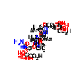 CCC(C)[C@@H]([C@@H](CC(=O)N1CCC[C@H]1[C@H](OC)[C@@H](C)C(=O)N[C@H](Cc1ccc(O[C@H]2O[C@@H](C(=O)O)[C@H](O)[C@@H](O)[C@@H]2O)cc1)C(=O)O)OC)N(C)C(=O)[C@@H](NC(=O)[C@H](C(C)C)N(C)C(=O)OCc1ccc(O[C@@H]2CC(C(=O)O)C(O)[C@H](O)[C@H]2O)c(NC(=O)CCN)c1)C(C)C